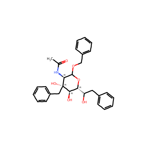 CC(=O)N[C@H]1C(OCc2ccccc2)O[C@H](C(O)Cc2ccccc2)[C@@H](O)[C@@]1(O)Cc1ccccc1